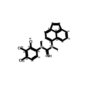 CN(C(=N)N(C)c1ccc2c3c(cccc13)C=C2)c1ccc(Cl)c(Cl)c1Cl